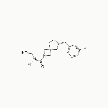 CC[C@H](CO)C(=O)N1CC2(CCC(Cc3cccc(C)c3)C2)C1